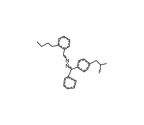 CCCCc1ccccc1C=NN=C(c1ccccc1)c1ccc(CC(C)F)cc1